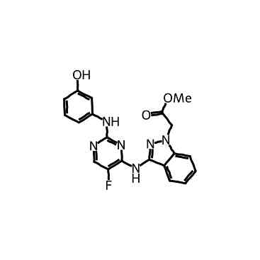 COC(=O)Cn1nc(Nc2nc(Nc3cccc(O)c3)ncc2F)c2ccccc21